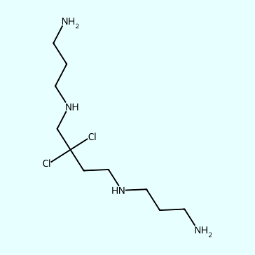 NCCCNCCC(Cl)(Cl)CNCCCN